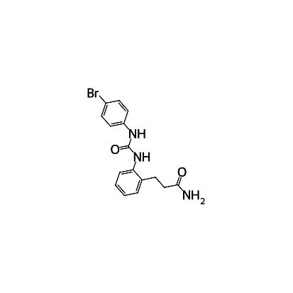 NC(=O)CCc1ccccc1NC(=O)Nc1ccc(Br)cc1